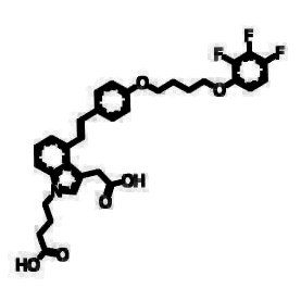 O=C(O)CCCn1cc(CC(=O)O)c2c(/C=C/c3ccc(OCCCCOc4ccc(F)c(F)c4F)cc3)cccc21